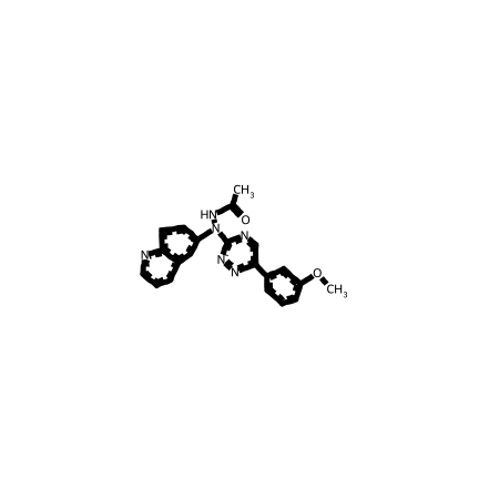 COc1cccc(-c2cnc(N(NC(C)=O)c3ccc4ncccc4c3)nn2)c1